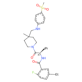 CCc1ccc(F)c(C(=O)N[C@@H](C(=O)N2CCC(C)(CNc3ccc(S(C)(=O)=O)cc3)CC2)C(C)C)c1